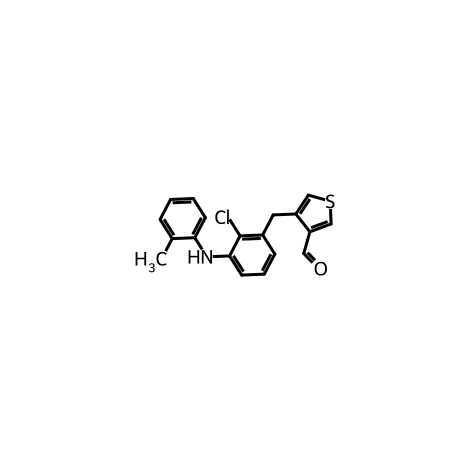 Cc1ccccc1Nc1cccc(Cc2cscc2C=O)c1Cl